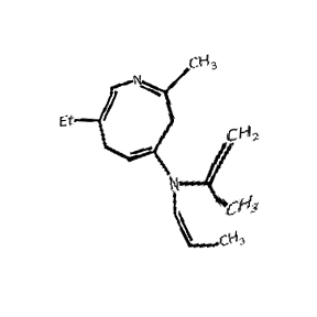 C=C(C)N(/C=C\C)/C1=C/C/C(CC)=C\N=C(\C)C1